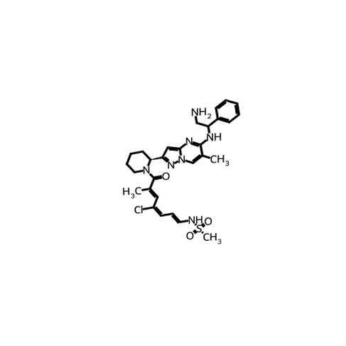 C\C(=C/C(Cl)=C\C=C\NS(C)(=O)=O)C(=O)N1CCCC[C@H]1c1cc2nc(NC(CN)c3ccccc3)c(C)cn2n1